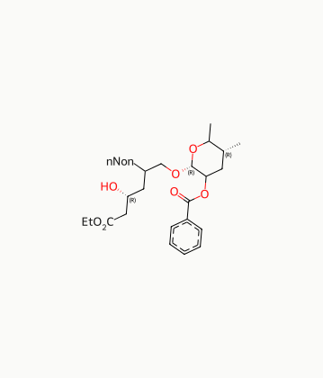 CCCCCCCCCC(CO[C@@H]1OC(C)[C@H](C)CC1OC(=O)c1ccccc1)C[C@@H](O)CC(=O)OCC